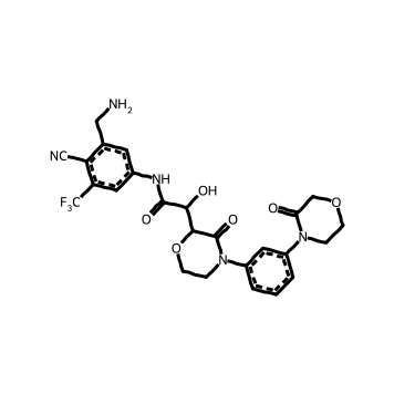 N#Cc1c(CN)cc(NC(=O)C(O)C2OCCN(c3cccc(N4CCOCC4=O)c3)C2=O)cc1C(F)(F)F